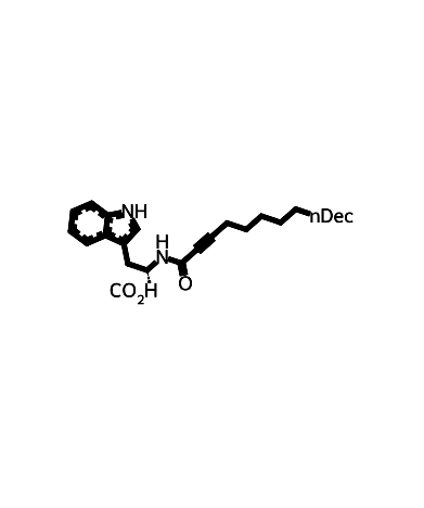 CCCCCCCCCCCCCCCC#CC(=O)N[C@@H](Cc1c[nH]c2ccccc12)C(=O)O